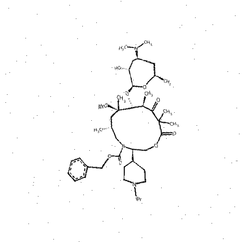 CO[C@]1(C)C[C@@H](C)CN(C(=O)OCc2ccccc2)[C@H](C2CCN(C(C)C)CC2)COC(=O)C(C)(C)C(=O)[C@H](C)[C@H]1O[C@@H]1O[C@H](C)C[C@H](N(C)C)[C@H]1O